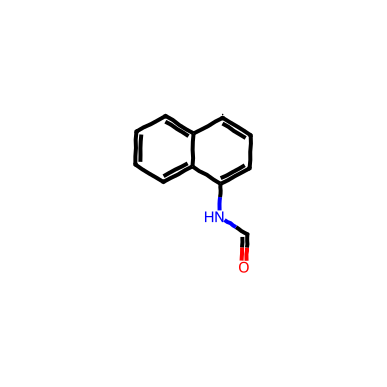 O=CNc1cc[c]c2ccccc12